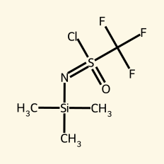 C[Si](C)(C)N=S(=O)(Cl)C(F)(F)F